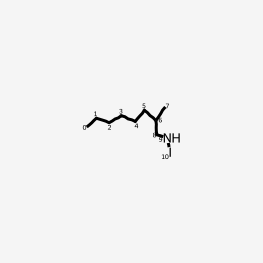 CCCCCCC(C)CNI